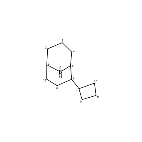 B1C2CCCC1C(C1CCC1)CC2